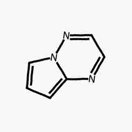 c1cc2nccnn2c1